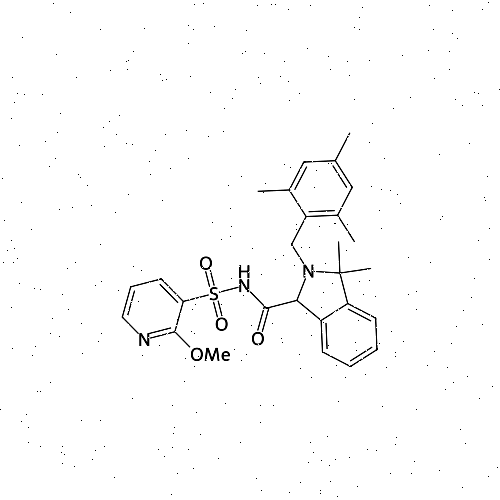 COc1ncccc1S(=O)(=O)NC(=O)C1c2ccccc2C(C)(C)N1Cc1c(C)cc(C)cc1C